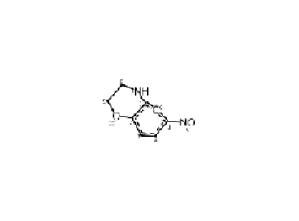 O=Nc1ccc2c(c1)NCCO2